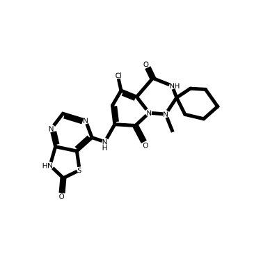 CN1n2c(c(Cl)cc(Nc3ncnc4[nH]c(=O)sc34)c2=O)C(=O)NC12CCCCC2